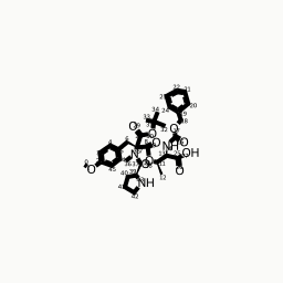 COc1ccc(C[C@](C(=O)O[C@H](C)[C@H](NC(=O)OCc2ccccc2)C(=O)O)(C(=O)OC(C)(C)C)N(C)C(=O)[C@@H]2CCCN2)cc1